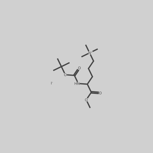 COC(=O)C(CCC[N+](C)(C)C)NC(=O)OC(C)(C)C.[I-]